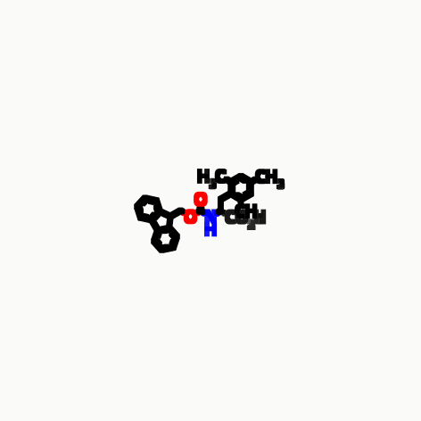 Cc1cc(C)c(C[C@H](NC(=O)OCC2c3ccccc3-c3ccccc32)C(=O)O)c(C)c1